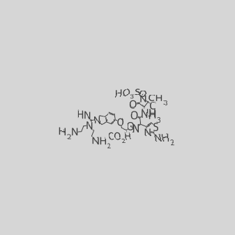 CC1(C)[C@H](NC(=O)/C(=N\O[C@@H](COc2ccc3c(c2)CN(C(=N)N(CCN)CCN)C3)C(=O)O)c2csc(N)n2)C(=O)N1OS(=O)(=O)O